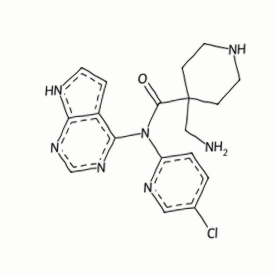 NCC1(C(=O)N(c2ccc(Cl)cn2)c2ncnc3[nH]ccc23)CCNCC1